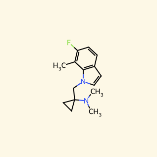 Cc1c(F)ccc2ccn(CC3(N(C)C)CC3)c12